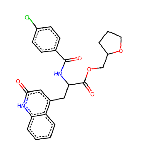 O=C(NC(Cc1cc(=O)[nH]c2ccccc12)C(=O)OCC1CCCO1)c1ccc(Cl)cc1